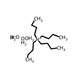 CCCC[N+](CCCC)(CCCC)CCCC.O.O.O.[Br-]